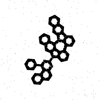 c1ccc(-c2nc(-n3c4cccc5c6cccc7c8cc9ccccc9cc8n(c67)c6c7ccccc7cc3c6c54)nc3ccc4ccccc4c23)cc1